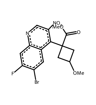 COC(=O)C1(c2c([N+](=O)[O-])cnc3cc(F)c(Br)cc23)CC(OC)C1